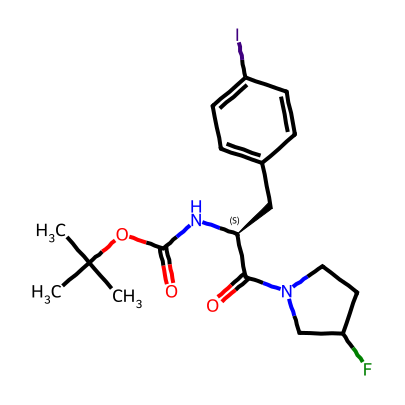 CC(C)(C)OC(=O)N[C@@H](Cc1ccc(I)cc1)C(=O)N1CCC(F)C1